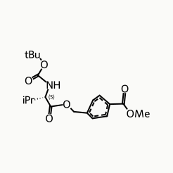 COC(=O)c1ccc(COC(=O)[C@@H](NC(=O)OC(C)(C)C)C(C)C)cc1